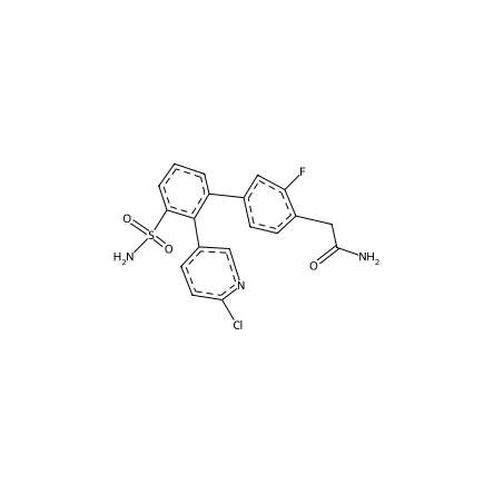 NC(=O)Cc1ccc(-c2cccc(S(N)(=O)=O)c2-c2ccc(Cl)nc2)cc1F